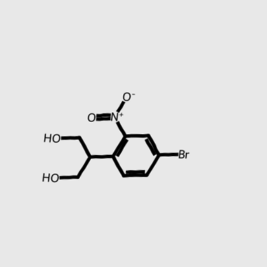 O=[N+]([O-])c1cc(Br)ccc1C(CO)CO